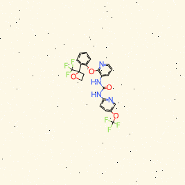 O=C(Nc1ccc(OC(F)(F)F)cn1)Nc1cccnc1Oc1ccccc1C1(C(F)(F)F)CCO1